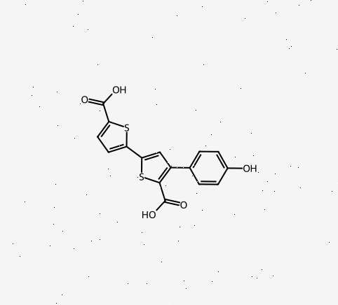 O=C(O)c1ccc(-c2cc(-c3ccc(O)cc3)c(C(=O)O)s2)s1